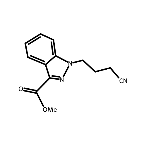 COC(=O)c1nn(CCCC#N)c2ccccc12